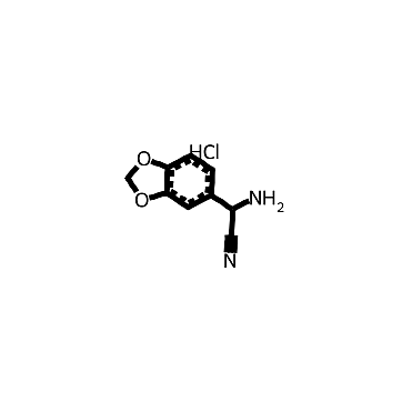 Cl.N#CC(N)c1ccc2c(c1)OCO2